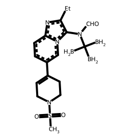 BC(B)(B)N(C=O)c1c(CC)nc2ccc(C3=CCN(S(C)(=O)=O)CC3)cn12